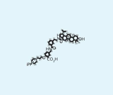 C=C(C)[C@@H]1CC[C@]2(C(=O)NCCc3cccc(C(=O)NCc4ccc(OCCCN5CCN(C(C)C)CC5)c(C(=O)O)c4)c3)CC[C@]3(C)C(CCC4[C@@]5(C)CC[C@H](O)C(C)(C)C5CC[C@]43C)C12